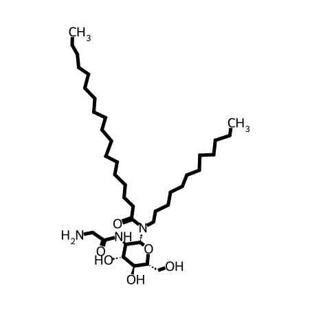 CCCCCCCCCCCCCCCCCC(=O)N(CCCCCCCCCCCC)[C@@H]1O[C@H](CO)[C@@H](O)[C@H](O)[C@H]1NC(=O)CN